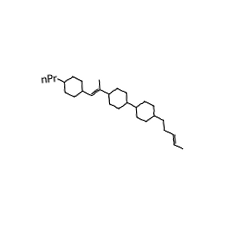 CC=CCCC1CCC(C2CCC(C(C)=CC3CCC(CCC)CC3)CC2)CC1